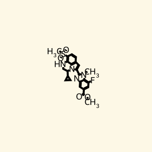 COC(=O)c1cc(F)c2c(c1)nc(-c1cc3ccc(S(C)(=O)=O)c4c3n1C(C1CC1)CN4)n2C